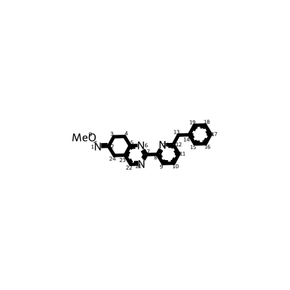 CO/N=C1\CCc2nc(-c3cccc(Cc4ccccc4)n3)ncc2C1